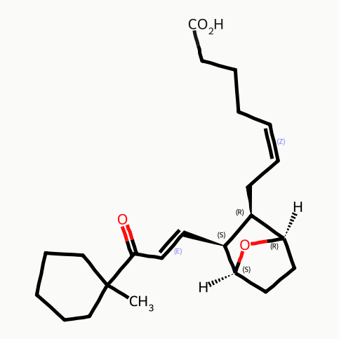 CC1(C(=O)/C=C/[C@H]2[C@@H](C/C=C\CCCC(=O)O)[C@H]3CC[C@@H]2O3)CCCCC1